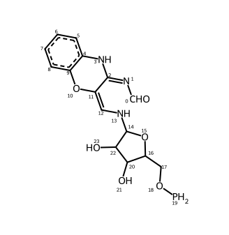 O=C/N=C1/Nc2ccccc2O/C1=C/NC1OC(COP)C(O)C1O